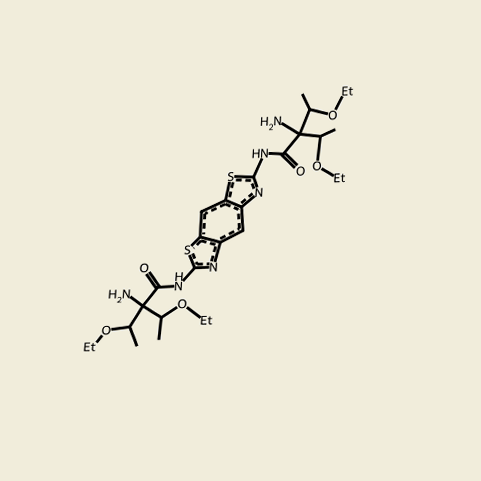 CCOC(C)C(N)(C(=O)Nc1nc2cc3nc(NC(=O)C(N)(C(C)OCC)C(C)OCC)sc3cc2s1)C(C)OCC